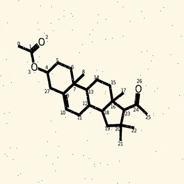 CC(=O)OC1CCC2(C)C(=CCC3C2CCC2(C)C3CC(C)(C)C2C(C)=O)C1